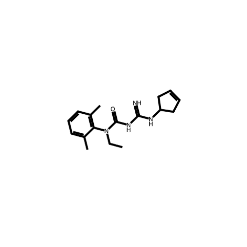 CCN(C(=O)NC(=N)NC1CC=CC1)c1c(C)cccc1C